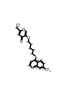 O=c1cc(CCl)occ1OCCCCCSc1ccnc2cc(C(F)(F)F)ccc12